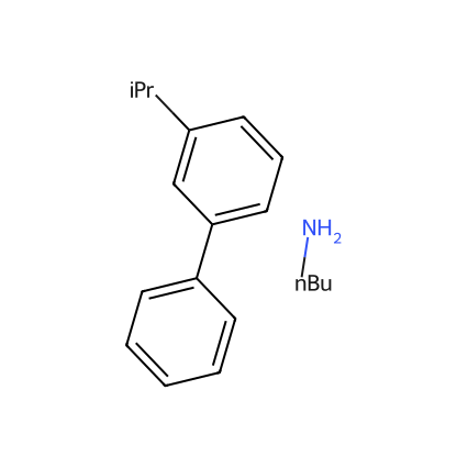 CC(C)c1cccc(-c2ccccc2)c1.CCCCN